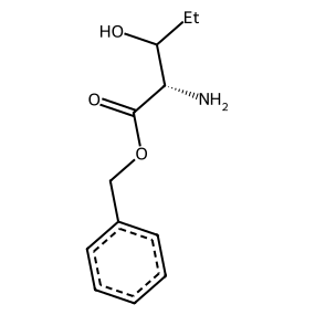 CCC(O)[C@H](N)C(=O)OCc1ccccc1